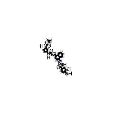 CC(C)(C)OC(=O)NC1CCC(NC(=O)COc2ccc(/C=N/NC(=O)c3ccc(O)c(Cl)c3)c3ccccc23)C1